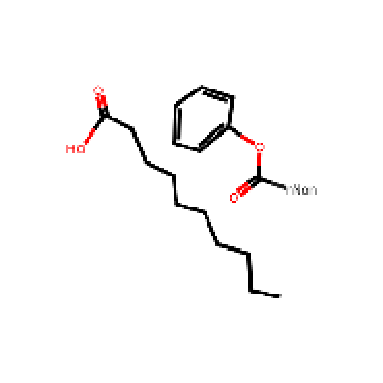 CCCCCCCCCC(=O)O.CCCCCCCCCC(=O)Oc1ccccc1